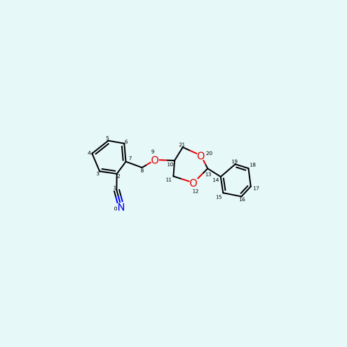 N#Cc1ccccc1COC1COC(c2ccccc2)OC1